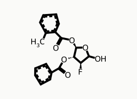 Cc1ccccc1C(=O)O[C@H]1OC(O)[C@@H](F)[C@@H]1OC(=O)c1ccccc1